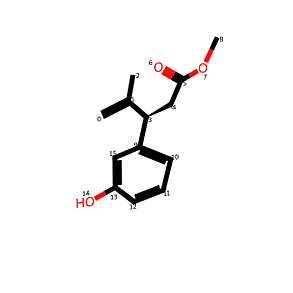 C=C(C)[C@@H](CC(=O)OC)c1cccc(O)c1